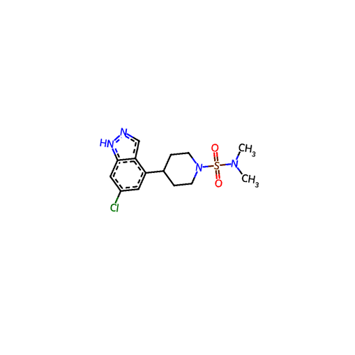 CN(C)S(=O)(=O)N1CCC(c2cc(Cl)cc3[nH]ncc23)CC1